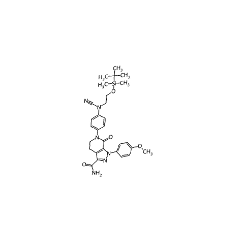 COc1ccc(-n2nc(C(N)=O)c3c2C(=O)N(c2ccc(N(C#N)CCO[Si](C)(C)C(C)(C)C)cc2)CC3)cc1